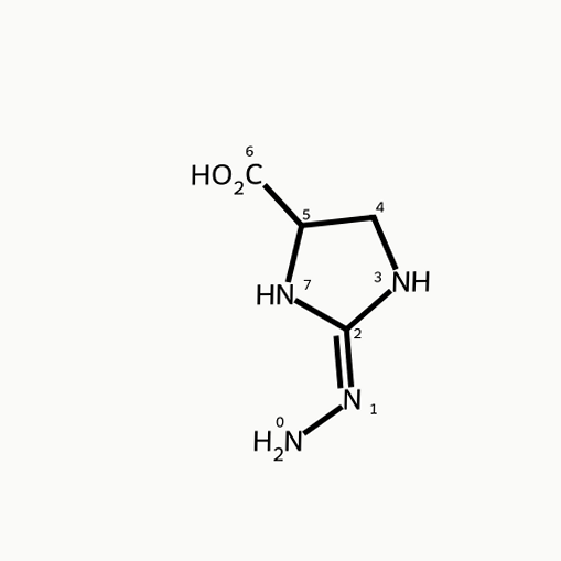 N/N=C1/NCC(C(=O)O)N1